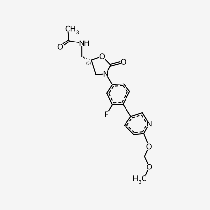 COCOc1ccc(-c2ccc(N3C[C@H](CNC(C)=O)OC3=O)cc2F)cn1